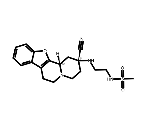 CS(=O)(=O)NCCN[C@]1(C#N)CCN2CCc3c(oc4ccccc34)[C@@H]2C1